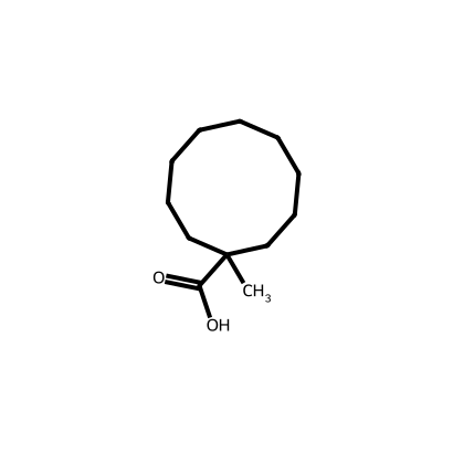 CC1(C(=O)O)CCCCCCCCC1